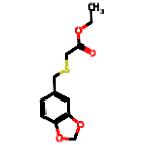 CCOC(=O)CSCc1ccc2c(c1)OCO2